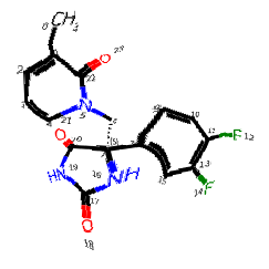 Cc1cccn(C[C@]2(c3ccc(F)c(F)c3)NC(=O)NC2=O)c1=O